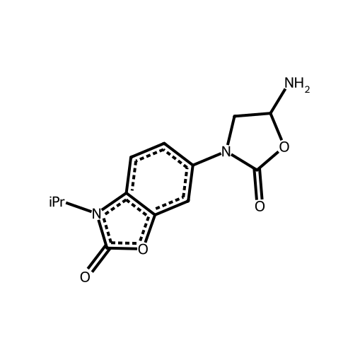 CC(C)n1c(=O)oc2cc(N3CC(N)OC3=O)ccc21